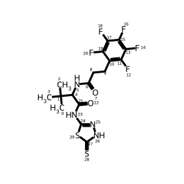 CC(C)(C)C(NC(=O)CCc1c(F)c(F)c(F)c(F)c1F)C(=O)Nc1n[nH]c(=S)s1